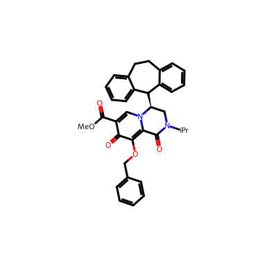 COC(=O)c1cn2c(c(OCc3ccccc3)c1=O)C(=O)N(C(C)C)C[C@@H]2C1c2ccccc2CCc2ccccc21